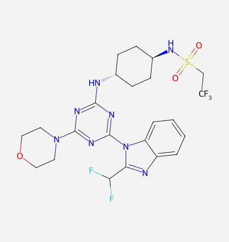 O=S(=O)(CC(F)(F)F)N[C@H]1CC[C@H](Nc2nc(N3CCOCC3)nc(-n3c(C(F)F)nc4ccccc43)n2)CC1